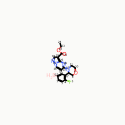 Bc1ccc(F)c(C2COCCN2c2ccn3ncc(C(=O)OCC)c3n2)c1